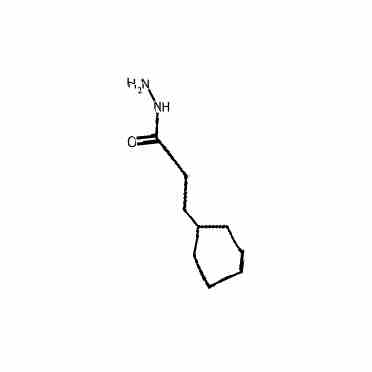 NNC(=O)[CH]CC1CCCCC1